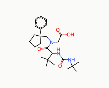 CC(C)(C)NC(=O)NC(C(=O)N(CC(=O)O)CC1(c2ccccc2)CCCC1)C(C)(C)C